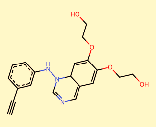 C#Cc1cccc(NN2C=NC=C3C=C(OCCO)C(OCCO)=CC32)c1